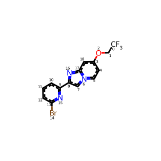 FC(F)(F)COc1ccn2cc(-c3cccc(Br)n3)nc2c1